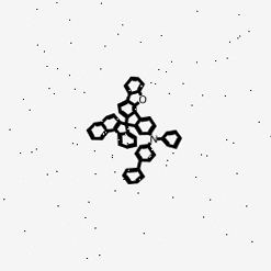 c1ccc(-c2ccc(N(c3ccccc3)c3ccc4c(c3)C3(c5ccccc5-c5c3ccc3ccccc53)c3ccc5c(oc6ccccc65)c3-4)cc2)cc1